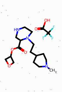 CN1CCC(CCN2CCNCC2C(=O)OC2COC2)CC1.O=C(O)C(F)(F)F